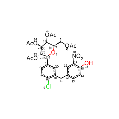 CC(=O)OC[C@H]1O[C@@H](c2ccc(Cl)c(Cc3ccc(O)c([N+](=O)[O-])c3)c2)[C@H](OC(C)=O)[C@@H](OC(C)=O)C1OC(C)=O